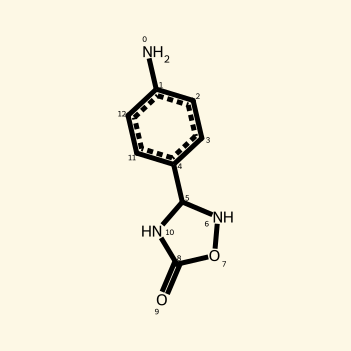 Nc1ccc(C2NOC(=O)N2)cc1